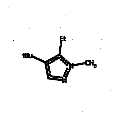 CCc1c(C(C)(C)C)cnn1C